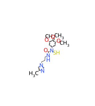 COc1cc(N(S)C(=O)NCCCn2cnc(C)c2)cc(OC)c1OC